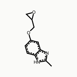 Cc1nc2cc(OCC3CO3)ccc2[nH]1